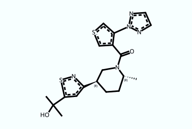 C[C@@H]1CC[C@@H](c2cc(C(C)(C)O)sn2)CN1C(=O)c1cscc1-n1nccn1